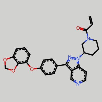 C=CC(=O)N1CCC[C@@H](n2nc(-c3ccc(Oc4cccc5c4OCO5)cc3)c3cnccc32)C1